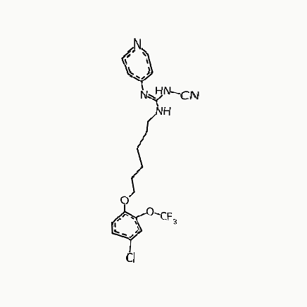 N#CN/C(=N\c1ccncc1)NCCCCCCOc1ccc(Cl)cc1OC(F)(F)F